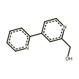 OCc1cc(-c2ccccn2)ccn1